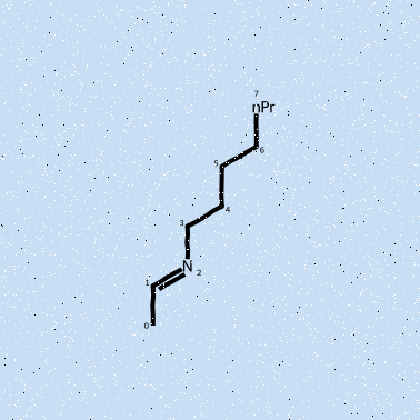 CC=NCCCCCCC